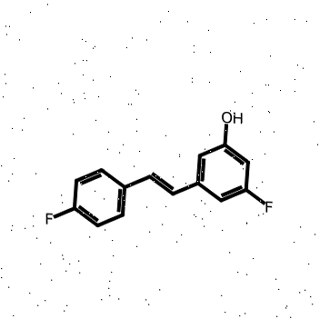 Oc1cc(F)cc(/C=C/c2ccc(F)cc2)c1